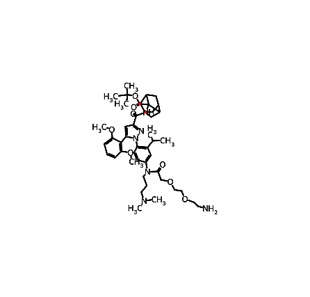 COc1cccc(OC)c1-c1cc(C(=O)NC2(C(=O)OC(C)(C)C)C3CC4CC(C3)C2C4)nn1-c1ccc(N(CCCN(C)C)C(=O)COCCOCCN)cc1C(C)C